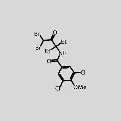 CCC(CC)(NC(=O)c1cc(Cl)c(OC)c(Cl)c1)C(=O)C(Br)Br